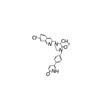 C[C@H]1C(=O)N(Cc2ccc(-c3ccc(=O)[nH]c3)cc2)CCN1Cc1cc2ccc(Cl)cc2cn1